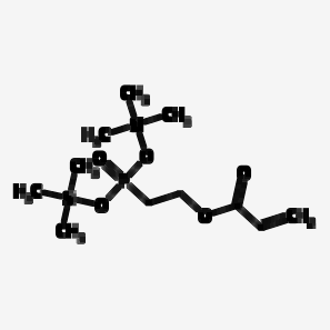 C=CC(=O)OCCP(=O)(O[Si](C)(C)C)O[Si](C)(C)C